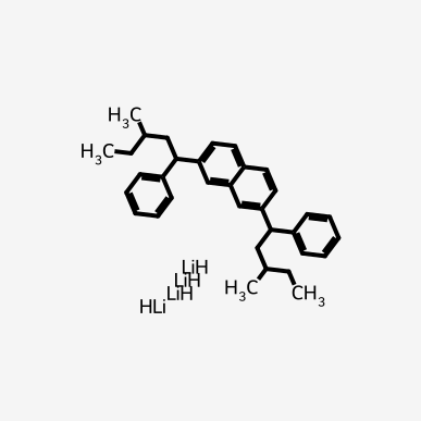 CCC(C)CC(c1ccccc1)c1ccc2ccc(C(CC(C)CC)c3ccccc3)cc2c1.[LiH].[LiH].[LiH].[LiH]